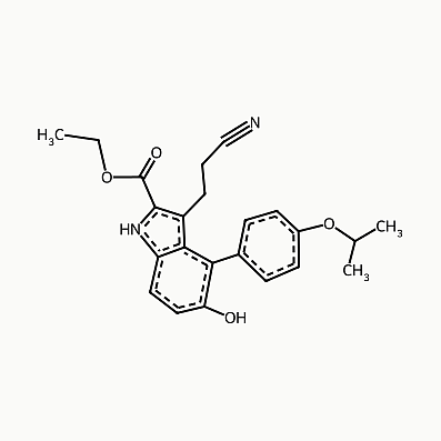 CCOC(=O)c1[nH]c2ccc(O)c(-c3ccc(OC(C)C)cc3)c2c1CCC#N